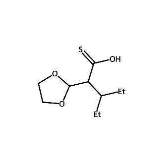 CCC(CC)C(C(O)=S)C1OCCO1